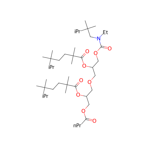 CCCC(=O)OCC(COCC(COC(=O)N(CC)CC(C)(C)C(C)C)OC(=O)C(C)(C)CCC(C)(C)C(C)C)OC(=O)C(C)(C)CCC(C)(C)C(C)C